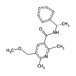 COCc1cc(C(=O)N[C@@H](C)c2ccccc2)c(C)nc1C